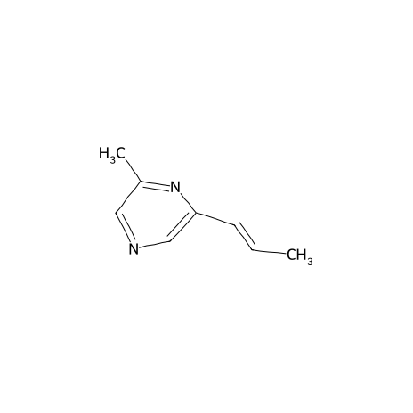 C/C=C/c1cncc(C)n1